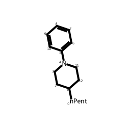 CCCCCC1CCN(c2ccccc2)CC1